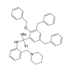 CCCCC(CC)(Pc1ccccc1CN1CCCCC1)c1cc(Cc2ccccc2)cc(Cc2ccccc2)c1OCc1ccccc1